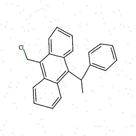 CC(c1ccccc1)c1c2ccccc2c(CCl)c2ccccc12